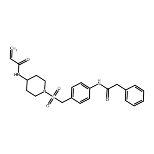 C=CC(=O)NC1CCN(S(=O)(=O)Cc2ccc(NC(=O)Cc3ccccc3)cc2)CC1